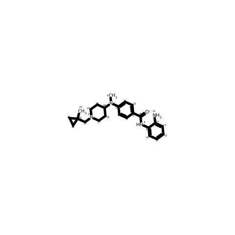 CN(c1ccc(C(=O)Nc2ccccc2N)cc1)C1CCN(CC2(C)CC2)CC1